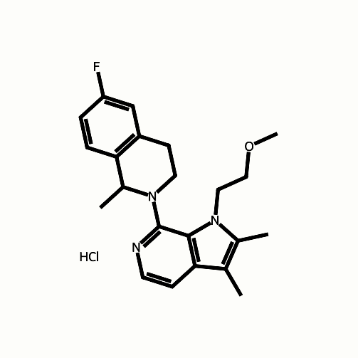 COCCn1c(C)c(C)c2ccnc(N3CCc4cc(F)ccc4C3C)c21.Cl